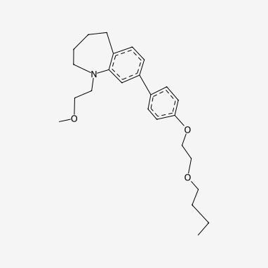 CCCCOCCOc1ccc(-c2ccc3c(c2)N(CCOC)CCCC3)cc1